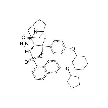 NC1CC2CCC(C1)N2C(=O)[C@H](NS(=O)(=O)c1cccc2cc(OC3CCCC3)ccc12)C(F)(F)c1ccc(OC2CCCCC2)cc1